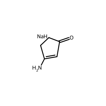 NC1=CC(=O)CC1.[NaH]